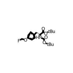 CC(C)(C)OC(=O)N[C@H](Cc1ccc(OCF)cc1)C(=O)OC(C)(C)C